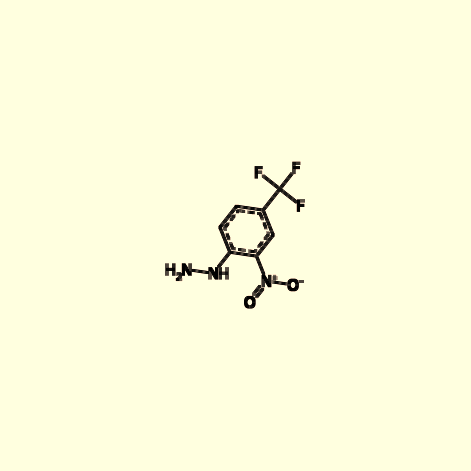 NNc1ccc(C(F)(F)F)cc1[N+](=O)[O-]